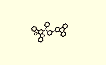 c1ccc(N(c2cccc(-c3ccc4c5ccccc5c5ccccc5c4c3)c2)c2cc3c4ccccc4oc3c3c2sc2ccccc23)cc1